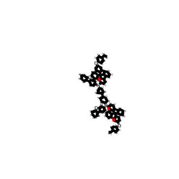 C=Cc1ccc(Oc2ccc(C3(c4c(F)cccc4F)c4ccccc4-c4ccc(N(c5ccc(-c6ccc(N(c7ccc8c(c7)C(c7ccc(Oc9ccc(C=C)cc9)cc7)(c7c(F)cccc7F)c7ccccc7-8)c7ccc8c(c7)oc7ccccc78)cc6)cc5)c5ccc6c(c5)oc5ccccc56)cc43)cc2)cc1